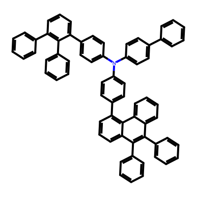 c1ccc(-c2ccc(N(c3ccc(-c4cccc(-c5ccccc5)c4-c4ccccc4)cc3)c3ccc(-c4cccc5c(-c6ccccc6)c(-c6ccccc6)c6ccccc6c45)cc3)cc2)cc1